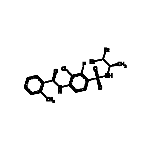 CCC(CC)[C@@H](C)NS(=O)(=O)c1ccc(NC(=O)c2ccccc2C)c(Cl)c1F